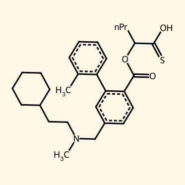 CCCC(OC(=O)c1ccc(CN(C)CCC2CCCCC2)cc1-c1ccccc1C)C(O)=S